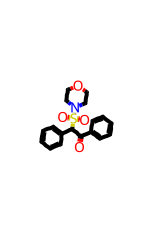 O=C(c1ccccc1)C(c1ccccc1)S(=O)(=O)N1CCOCC1